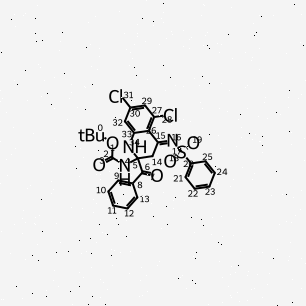 CC(C)(C)OC(=O)NC1(C(=O)c2ccccc2)CC(=NS(=O)(=O)c2ccccc2)c2c(Cl)cc(Cl)cc2N1